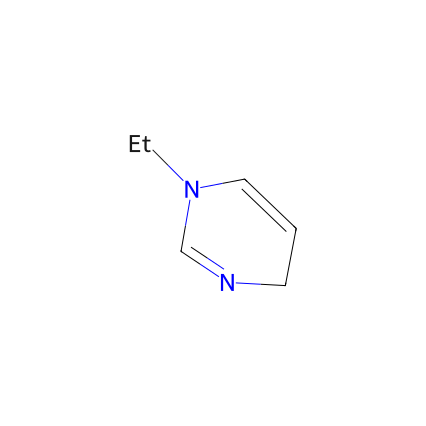 CCN1C=CCN=C1